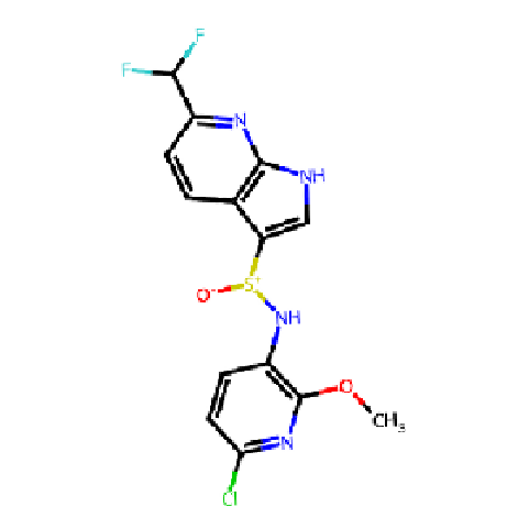 COc1nc(Cl)ccc1N[S+]([O-])c1c[nH]c2nc(C(F)F)ccc12